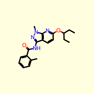 CCC(CC)Oc1ccc2c(NC(=O)c3ccccc3C)nn(C)c2n1